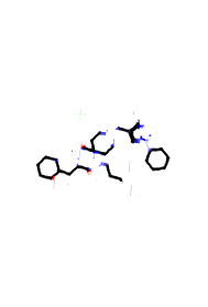 CCCCN1C(=O)[C@@H]([C@H](O)C2CCCCC2)NC(=O)C12CCN(Cc1c(C)nn(C3CCCCC3)c1C)CC2.Cl